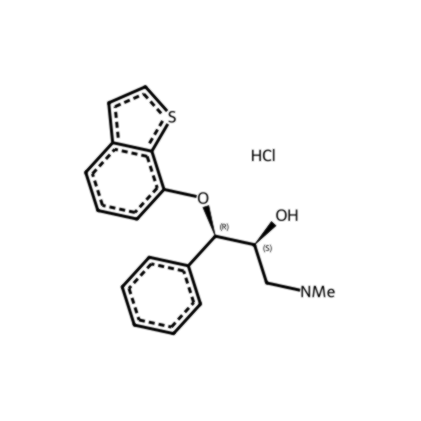 CNC[C@H](O)[C@H](Oc1cccc2ccsc12)c1ccccc1.Cl